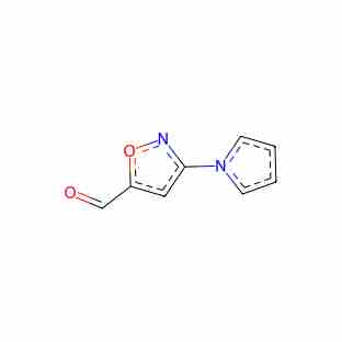 O=Cc1cc(-n2cccc2)no1